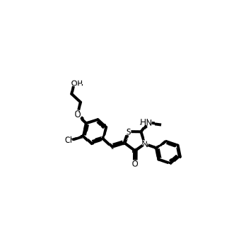 CNC1S/C(=C\c2ccc(OCCO)c(Cl)c2)C(=O)N1c1ccccc1